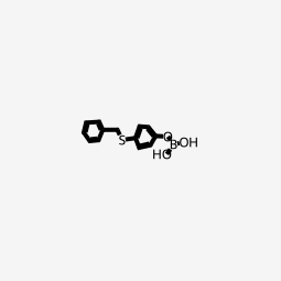 OB(O)Oc1ccc(SCc2ccccc2)cc1